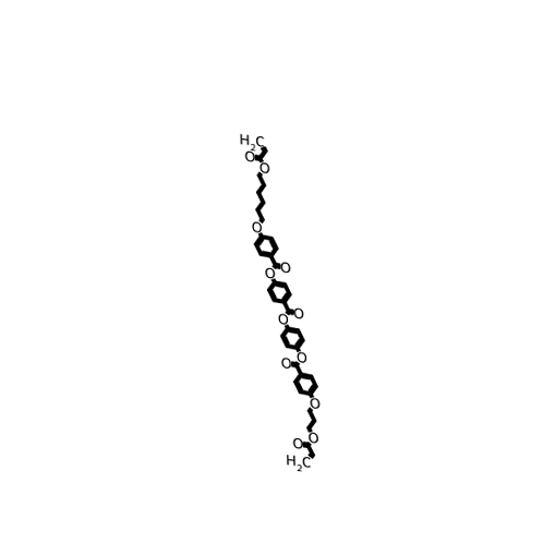 C=CC(=O)OCCCCCCOc1ccc(C(=O)Oc2ccc(C(=O)Oc3ccc(OC(=O)c4ccc(OCCCOC(=O)C=C)cc4)cc3)cc2)cc1